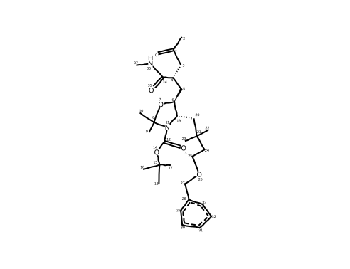 C=C(C)C[C@H](C[C@@H]1OC(C)(C)N(C(=O)OC(C)(C)C)[C@H]1CC(C)(C)CCOCc1ccccc1)C(=O)NC